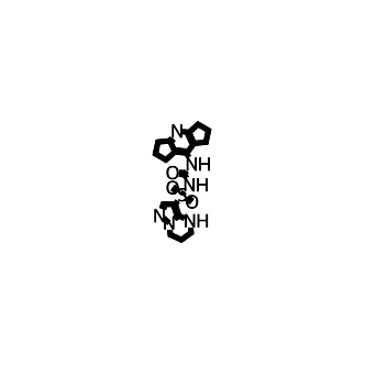 O=C(Nc1c2c(nc3c1CCC3)CCC2)NS(=O)(=O)c1cnn2c1NCCC2